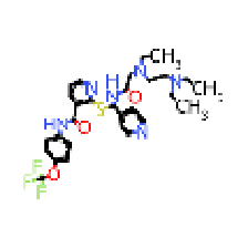 CCN(CC)CCN(CC)CC(=O)NC(Sc1ncccc1C(=O)Nc1ccc(OC(F)(F)F)cc1)c1ccncc1